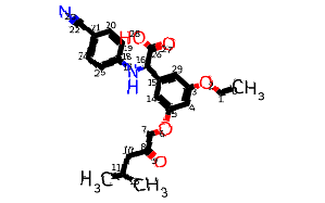 CCOc1cc(OCC(=O)CC(C)C)cc([C@@H](Nc2ccc(C#N)cc2)C(=O)O)c1